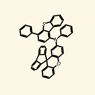 c1ccc(-c2ccc(N(c3ccccc3)c3ccc4c(c3)C3(c5ccccc5O4)c4ccccc4-c4ccccc43)c3c2sc2ccccc23)cc1